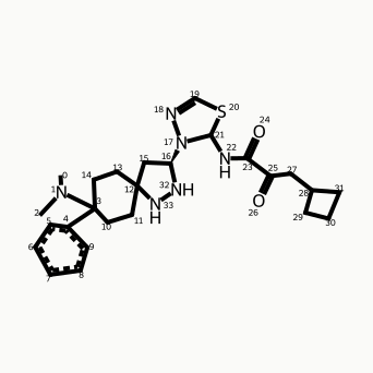 CN(C)C1(c2ccccc2)CCC2(CC1)C[C@@H](N1N=CSC1NC(=O)C(=O)CC1CCC1)NN2